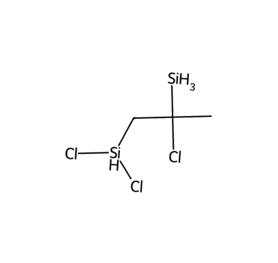 CC([SiH3])(Cl)C[SiH](Cl)Cl